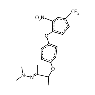 C/C(=N\N(C)C)C(C)Oc1ccc(Oc2ccc(C(F)(F)F)cc2[N+](=O)[O-])cc1